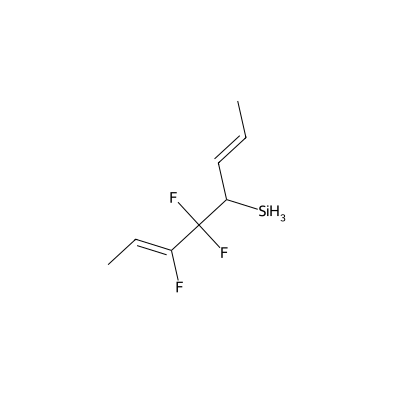 CC=CC([SiH3])C(F)(F)C(F)=CC